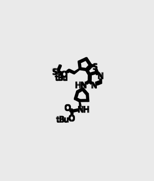 CC(C)(C)OC(=O)N[C@H]1CC[C@H](Nc2ncnc3sc4c(c23)[C@@H](CCO[Si](C)(C)C(C)(C)C)CC4)CC1